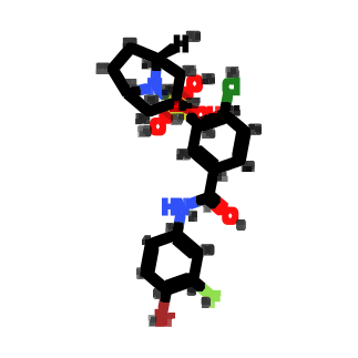 O=C(Nc1ccc(Br)c(F)c1)c1ccc(Cl)c(S(=O)(=O)N2C3CC[C@@H]2CC(O)C3)c1